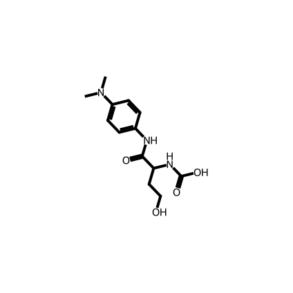 CN(C)c1ccc(NC(=O)C(CCO)NC(=O)O)cc1